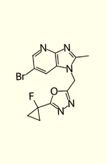 Cc1nc2ncc(Br)cc2n1Cc1nnc(C2(F)CC2)o1